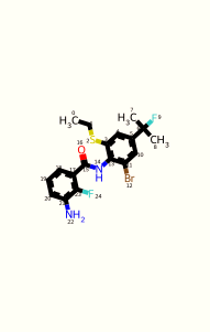 CCSc1cc(C(C)(C)F)cc(Br)c1NC(=O)c1cccc(N)c1F